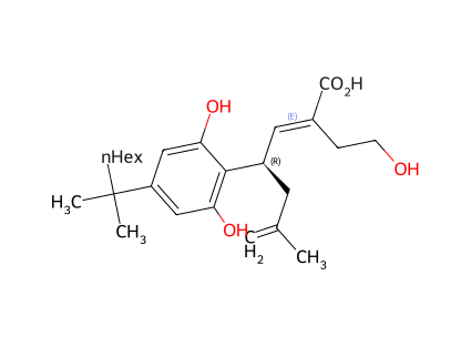 C=C(C)C[C@H](/C=C(\CCO)C(=O)O)c1c(O)cc(C(C)(C)CCCCCC)cc1O